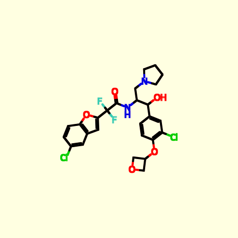 O=C(NC(CN1CCCC1)C(O)c1ccc(OC2COC2)c(Cl)c1)C(F)(F)c1cc2cc(Cl)ccc2o1